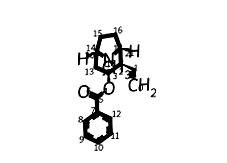 C=C[C@H]1[C@@H](OC(=O)c2ccccc2)C[C@@H]2CC[C@H]1N2C